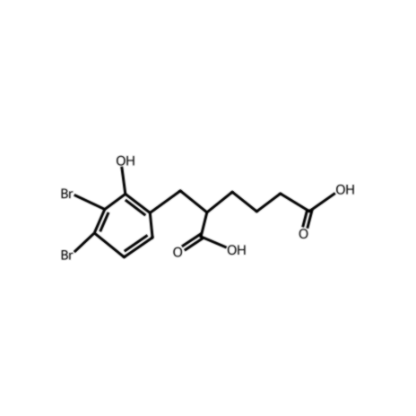 O=C(O)CCCC(Cc1ccc(Br)c(Br)c1O)C(=O)O